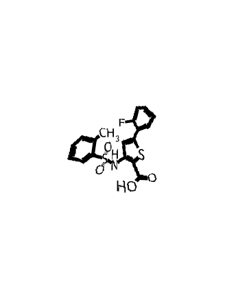 Cc1ccccc1S(=O)(=O)Nc1cc(-c2ccccc2F)sc1C(=O)O